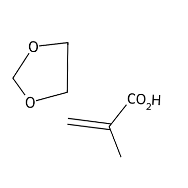 C1COCO1.C=C(C)C(=O)O